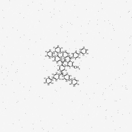 Cc1cc2c3c(c1)N(c1ccc(-c4ccccc4)cc1)c1ccc(-c4ccccc4)cc1B3N(c1ccc(-c3ccccc3)cc1)c1ccc(N(c3ccc(-c4ccccc4)cc3)c3ccc(-c4ccccc4)cc3)cc1-2